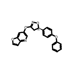 c1ccc(Oc2ccc([C@H]3CC(Oc4cnc5ccoc5c4)=NO3)cc2)cc1